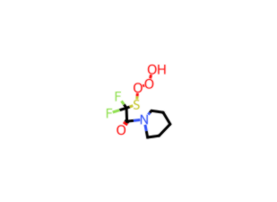 O=C(N1CCCCC1)C(F)(F)SOOO